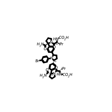 CC(C)[C@H](NC(=O)O)C(=O)N1CCC[C@@]1(C(N)=O)c1ccc(C2CC[C@H](c3ccc([C@]4(C(N)=O)CCCN4C(=O)[C@@H](NC(=O)O)C(C)C)cc3)N2c2ccc(Br)cc2)cc1